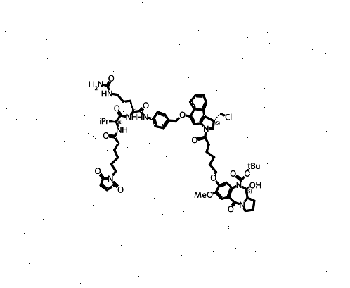 COc1cc2c(cc1OCCCCCC(=O)N1C[C@@H](CCl)c3c1cc(OCc1ccc(NC(=O)[C@H](CCCNC(N)=O)NC(=O)[C@@H](NC(=O)CCCCCN4C(=O)C=CC4=O)C(C)C)cc1)c1ccccc31)N(C(=O)OC(C)(C)C)[C@@H](O)C1CCCN1C2=O